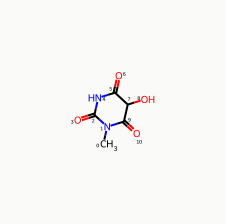 CN1C(=O)NC(=O)C(O)C1=O